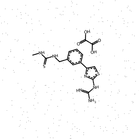 CNC(=S)NCc1cccc(-c2csc(NC(=N)N)n2)c1.O=C(O)C(=O)O